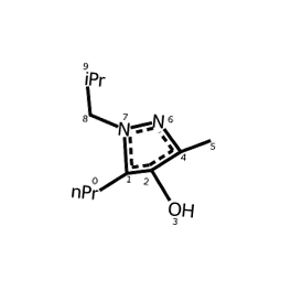 CCCc1c(O)c(C)nn1CC(C)C